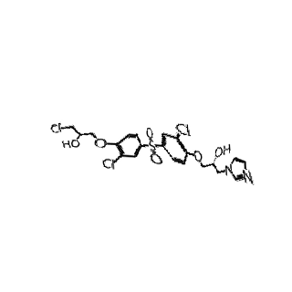 O=S(=O)(c1ccc(OC[C@@H](O)CCl)c(Cl)c1)c1ccc(OC[C@H](O)Cn2ccnc2)c(Cl)c1